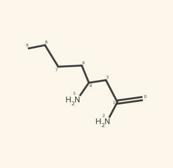 C=C(N)CC(N)CCCC